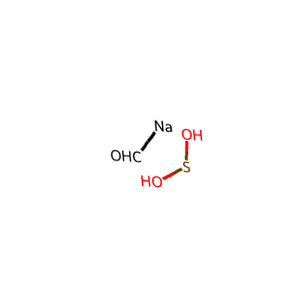 O=[CH][Na].OSO